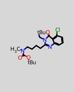 CN(CCCCc1nc2cccc(Cl)c2c(=O)n1CC(C)(C)C)C(=O)OC(C)(C)C